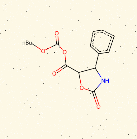 CCCCOC(=O)OC(=O)C1OC(=O)NC1c1ccccc1